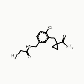 CCC(=O)NCc1ccc(Cl)c(CC2(C(N)=O)CC2)c1